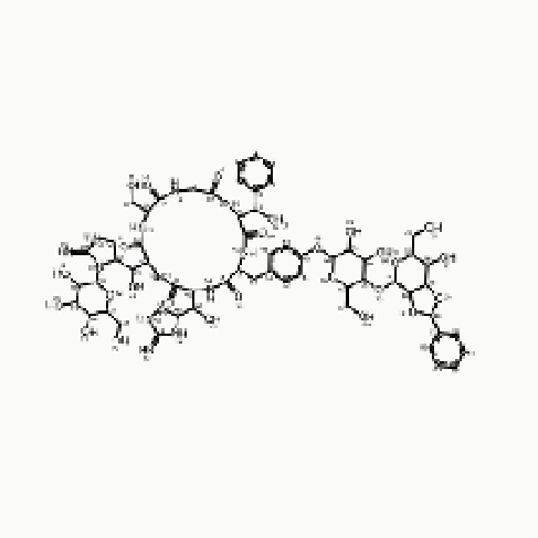 CC(c1ccccc1)C1NC(=O)CNC(=O)C(CO)NC(=O)C(C(O)C2CNC(=N)N2C2OC(CO)C(O)C(O)C2O)NC(=O)C(C(O)C2CNC(=N)N2)NC(=O)C(Cc2ccc(OC3OC(CO)C(OC4OC(CO)C(O)C5OC(c6ccccc6)OC45)C(O)C3O)cc2)NC1=O